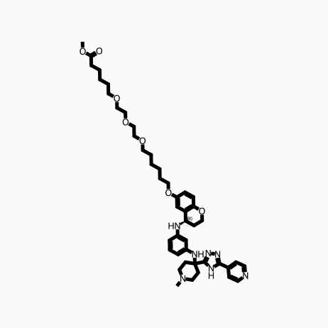 COC(=O)CCCCCOCCOCCOCCCCCCOc1ccc2c(c1)[C@H](Nc1cccc(NC3(c4nnc(-c5ccncc5)[nH]4)CCN(C)CC3)c1)CCO2